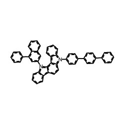 c1ccc(-c2ccc(-c3ccc(-n4c5ccccc5c5c4ccc4c6ccccc6n(-c6cc(-c7ccccc7)c7ccccc7c6)c45)cc3)cc2)cc1